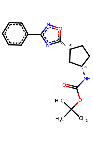 CC(C)(C)OC(=O)N[C@H]1CC[C@@H](c2nc(-c3ccccc3)no2)C1